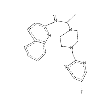 CC(Nc1ccc2ccccc2n1)N1CCN(c2ncc(F)cn2)CC1